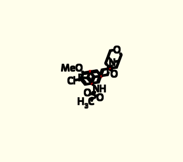 COc1cc(C=CC(=O)N2C3COCC2CN(Cc2ccc(F)cc2)C3)c(NS(C)(=O)=O)cc1Cl